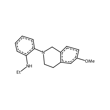 CCNc1ccccc1N1CCc2cc(OC)ccc2C1